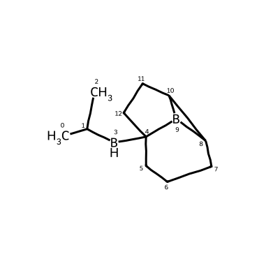 CC(C)BC12CCCC3B1C3CC2